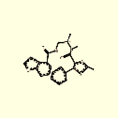 Cc1nc(C(=O)N(C)[C@H](C)CNC(=O)c2cccc3occc23)c(-c2ccccc2)s1